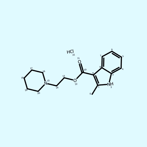 Cc1[nH]c2ccccc2c1C(=O)OCCN1CCCCC1.Cl